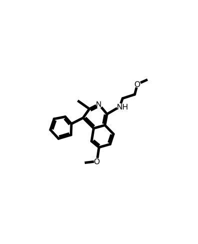 COCCNc1nc(C)c(-c2ccccc2)c2cc(OC)ccc12